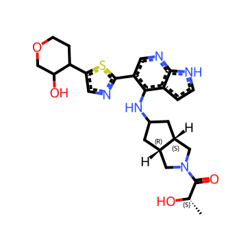 C[C@H](O)C(=O)N1C[C@H]2CC(Nc3c(-c4ncc(C5CCOCC5O)s4)cnc4[nH]ccc34)C[C@H]2C1